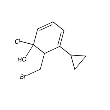 OC1(Cl)C=CC=C(C2CC2)C1CBr